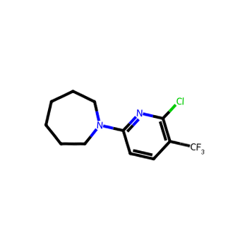 FC(F)(F)c1ccc(N2CCCCCC2)nc1Cl